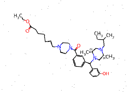 CCOC(=O)CCCCCCN1CCN(C(=O)c2cccc(C(c3cccc(O)c3)N3C[C@@H](C)N(CC(C)CC)C[C@@H]3C)c2)CC1